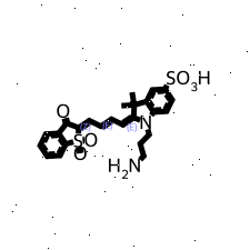 CC1(C)\C(=C/C=C/C=C2/C(=O)c3ccccc3S2(=O)=O)N(CCCN)c2ccc(S(=O)(=O)O)cc21